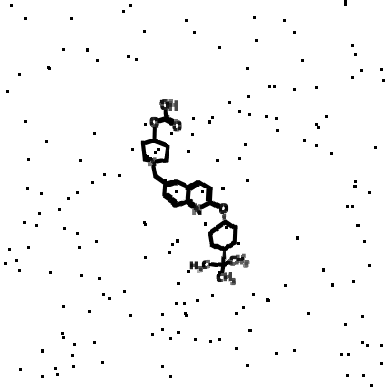 CC(C)(C)[C@H]1CC[C@H](Oc2ccc3cc(CN4CCC(OC(=O)O)CC4)ccc3n2)CC1